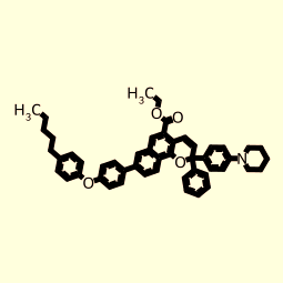 CCCCCc1ccc(Oc2ccc(-c3ccc4c5c(c(C(=O)OCC)cc4c3)C=CC(c3ccccc3)(c3ccc(N4CCCCC4)cc3)O5)cc2)cc1